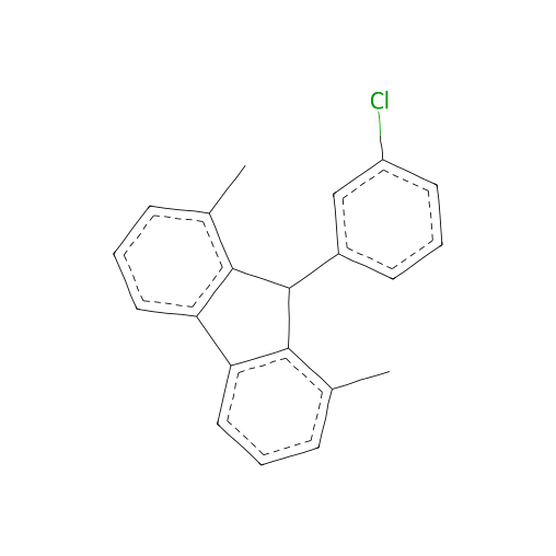 Cc1cccc2c1C(c1cccc(Cl)c1)c1c(C)cccc1-2